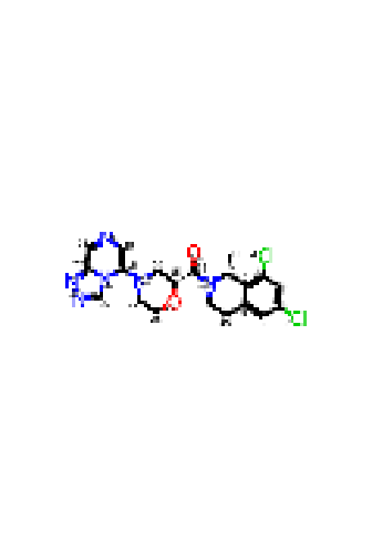 C[C@H]1c2c(Cl)cc(Cl)cc2CCN1C(=O)[C@H]1CN(c2cncc3nncn23)CCO1